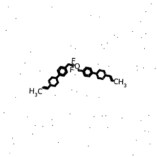 CC=CC1CCC(c2ccc(COC(F)(F)Cc3ccc(C4CCC(C=CC)CC4)cc3)cc2)CC1